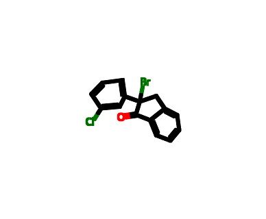 O=C1c2ccccc2CC1(Br)c1cccc(Cl)c1